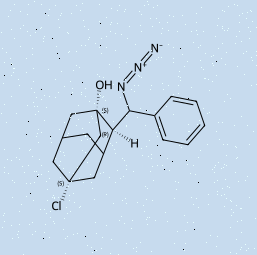 [N-]=[N+]=NC(c1ccccc1)[C@H]1C2CC3C[C@](Cl)(C2)C[C@@]1(O)C3